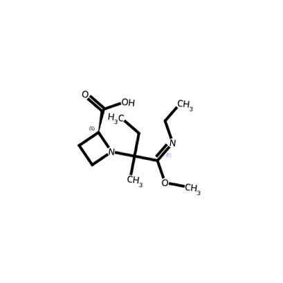 CC/N=C(/OC)C(C)(CC)N1CC[C@H]1C(=O)O